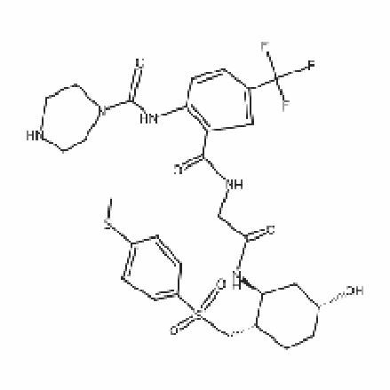 CSc1ccc(S(=O)(=O)C[C@H]2CC[C@@H](O)C[C@@H]2NC(=O)CNC(=O)c2cc(C(F)(F)F)ccc2NC(=O)N2CCNCC2)cc1